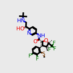 CSc1c([C@H]2[C@H](C(=O)Nc3ccc([C@H](O)CNC(C)(C)C)nc3)O[C@@](C)(C(F)(F)F)[C@H]2C)ccc(F)c1F